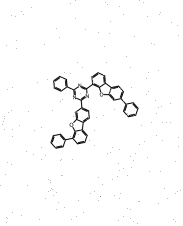 c1ccc(-c2ccc3c(c2)oc2c(-c4nc(-c5ccccc5)nc(-c5ccc6c(c5)oc5c(-c7ccccc7)cccc56)n4)cccc23)cc1